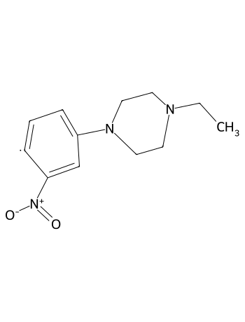 CCN1CCN(c2cc[c]c([N+](=O)[O-])c2)CC1